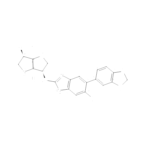 O[C@@H]1CN[C@H]2[C@@H]1OC[C@H]2Oc1nc2cc(-c3ccc4c(c3)OCO4)c(Cl)cc2[nH]1